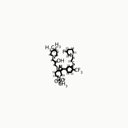 CC1(C)CCN(C[C@H](O)Cn2nc(-c3ccc(C(F)(F)F)c(SCCN4CCCC(F)C4)c3)c3c2CCN(S(C)(=O)=O)C3)CC1